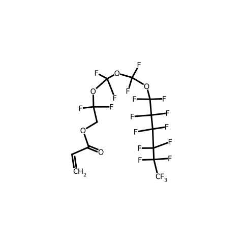 C=CC(=O)OCC(F)(F)OC(F)(F)OC(F)(F)OC(F)(F)C(F)(F)C(F)(F)C(F)(F)C(F)(F)C(F)(F)F